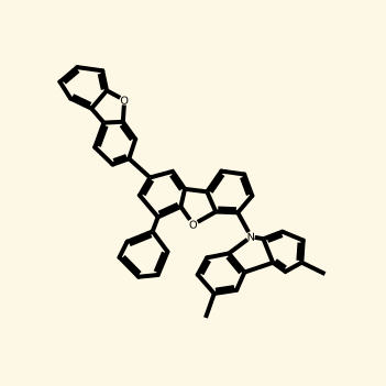 Cc1ccc2c(c1)c1cc(C)ccc1n2-c1cccc2c1oc1c(-c3ccccc3)cc(-c3ccc4c(c3)oc3ccccc34)cc12